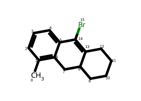 Cc1cccc2c1CC1CCCCC1=C2Br